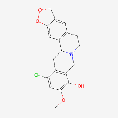 COc1cc(Cl)c2c(c1O)CN1CCc3cc4c(cc3C1C2)OOC4